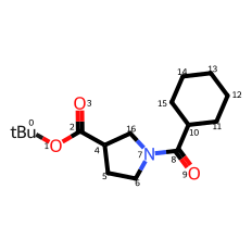 CC(C)(C)OC(=O)C1CCN(C(=O)C2CCCCC2)C1